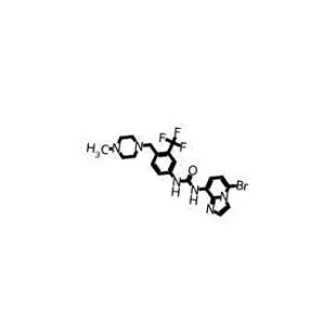 CN1CCN(Cc2ccc(NC(=O)Nc3ccc(Br)n4ccnc34)cc2C(F)(F)F)CC1